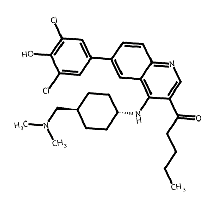 CCCCC(=O)c1cnc2ccc(-c3cc(Cl)c(O)c(Cl)c3)cc2c1N[C@H]1CC[C@H](CN(C)C)CC1